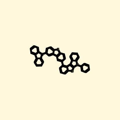 c1ccc(-n2c3ccccc3c3c4c(-c5ccc6sc7ccc(-n8c9ccccc9c9ccccc98)cc7c6c5)cccc4oc32)cc1